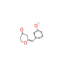 COc1cccc(C=C2CC(=O)CCO2)c1